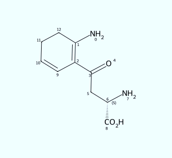 NC1=C(C(=O)C[C@H](N)C(=O)O)C=CCC1